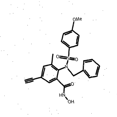 C#Cc1cc(C)c(N(Cc2ccccc2)S(=O)(=O)c2ccc(OC)cc2)c(C(=O)NO)c1